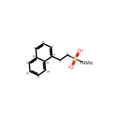 CNS(=O)(=O)CCc1cccc2ccccc12